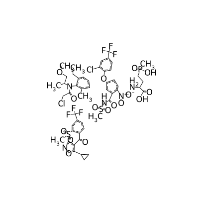 CCc1cccc(C)c1N(C(=O)CCl)C(C)COC.CP(=O)(O)CCC(N)C(=O)O.CS(=O)(=O)NC(=O)c1cc(Oc2ccc(C(F)(F)F)cc2Cl)ccc1[N+](=O)[O-].CS(=O)(=O)c1cc(C(F)(F)F)ccc1C(=O)c1cnoc1C1CC1